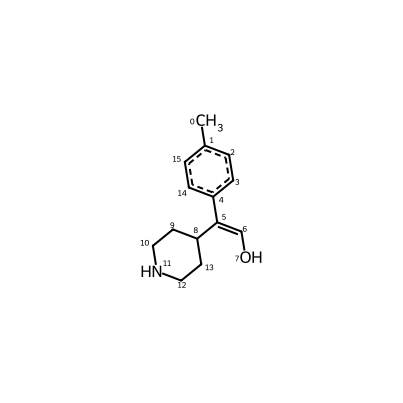 Cc1ccc(C(=CO)C2CCNCC2)cc1